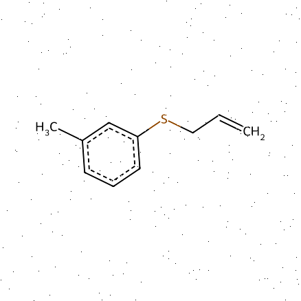 C=CCSc1cccc(C)c1